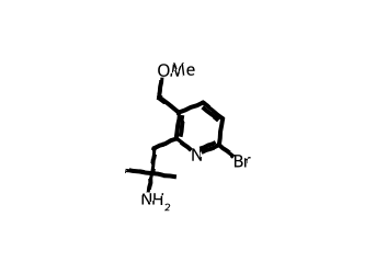 COCc1ccc(Br)nc1CC(C)(C)N